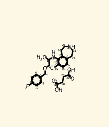 CC(COCc1ccc(F)cc1)Nc1c(Cl)ccc2c1CCNCC2.O=C(O)CCC(=O)O